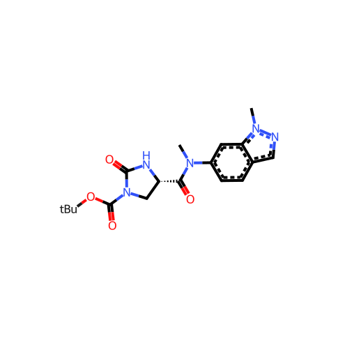 CN(C(=O)[C@@H]1CN(C(=O)OC(C)(C)C)C(=O)N1)c1ccc2cnn(C)c2c1